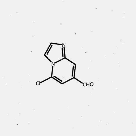 O=Cc1cc(Cl)n2ccnc2c1